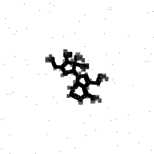 C=Cc1cn(C2OC(CO)C(O)[C@@]2(C)O)c2ncnc(N)c12